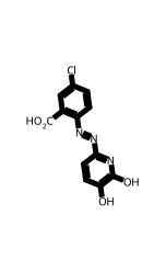 O=C(O)c1cc(Cl)ccc1N=Nc1ccc(O)c(O)n1